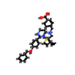 O=C([O-])c1ccc(CN(Cc2cccs2)c2ccnc(-c3ccc(OCc4ccccc4)cc3)n2)cc1.[Na+]